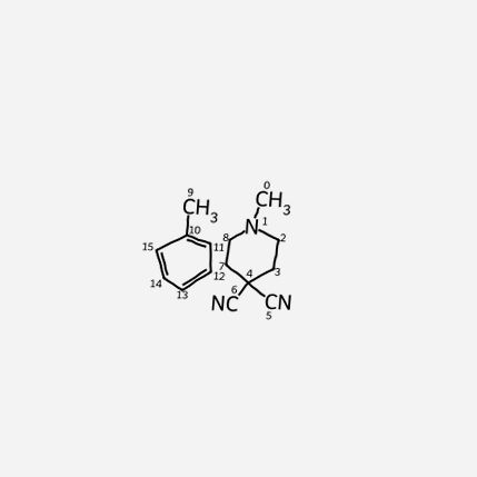 CN1CCC(C#N)(C#N)CC1.Cc1ccccc1